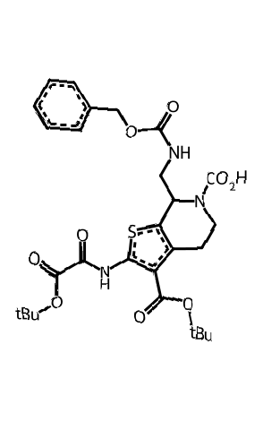 CC(C)(C)OC(=O)C(=O)Nc1sc2c(c1C(=O)OC(C)(C)C)CCN(C(=O)O)C2CNC(=O)OCc1ccccc1